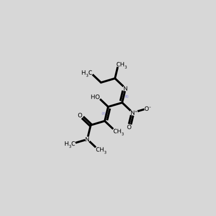 CCC(C)/N=C(\C(O)=C(/C)C(=O)N(C)C)[N+](=O)[O-]